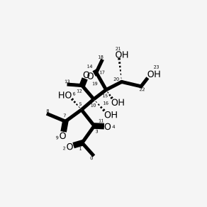 CC(=O)C(=O)[C@@](O)(C(C)=O)[C@@](O)(C(C)=O)[C@@](O)(C(C)=O)[C@H](O)CO